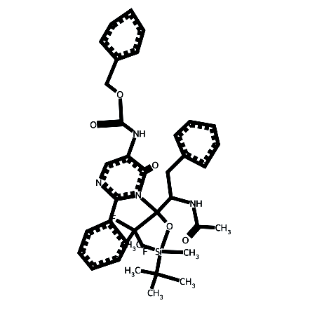 CC(=O)NC(Cc1ccccc1)C(O[Si](C)(C)C(C)(C)C)(n1c(-c2ccccc2)ncc(NC(=O)OCc2ccccc2)c1=O)C(F)(F)F